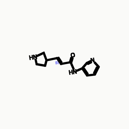 O=C(/C=C/C1CCNC1)Nc1cccnc1